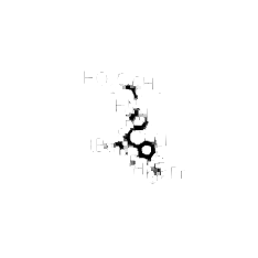 CCCS(=O)(=O)Nc1cc(Cl)cc(-c2nc(C(C)(C)C)sc2-c2ccnc(NCC(C)CC(=O)O)n2)c1F